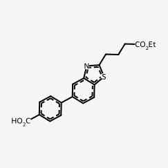 CCOC(=O)CCCc1nc2cc(-c3ccc(C(=O)O)cc3)ccc2s1